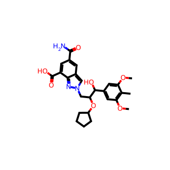 COc1cc(C(O)C(Cn2cc3cc(C(N)=O)cc(C(=O)O)c3n2)OC2CCCC2)cc(OC)c1C